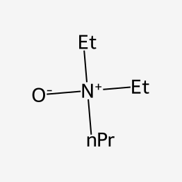 CCC[N+]([O-])(CC)CC